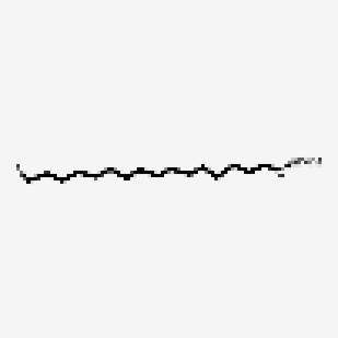 CCCCCOCCCCCCCCCCCCCCCCF